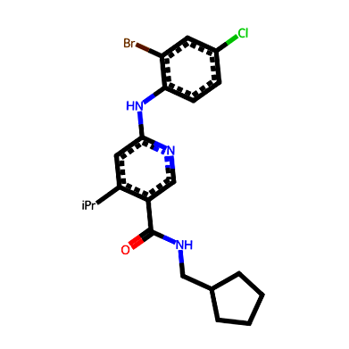 CC(C)c1cc(Nc2ccc(Cl)cc2Br)ncc1C(=O)NCC1CCCC1